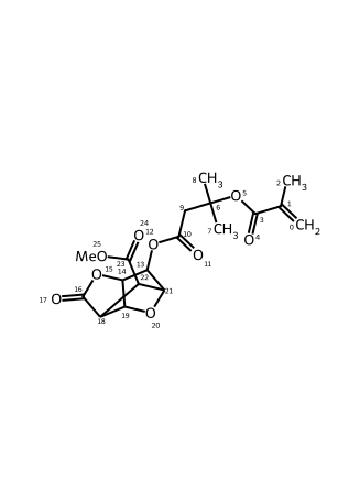 C=C(C)C(=O)OC(C)(C)CC(=O)OC1C2OC(=O)C3C2OC1C3C(=O)OC